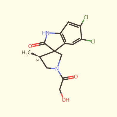 C[C@@H]1CN(C(=O)CO)CC12C(=O)Nc1cc(Cl)c(Cl)cc12